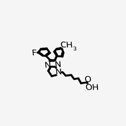 Cc1ccc(-c2nc3c(nc2-c2cccc(F)c2)CCCN3CCCCCCC(=O)O)cc1